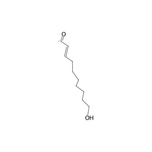 O=[C]C=CCCCCCCCO